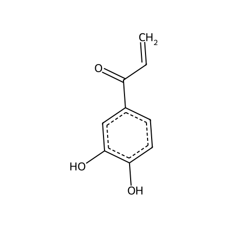 C=CC(=O)c1ccc(O)c(O)c1